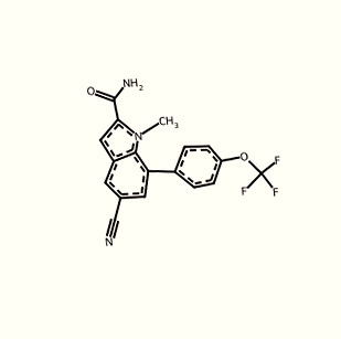 Cn1c(C(N)=O)cc2cc(C#N)cc(-c3ccc(OC(F)(F)F)cc3)c21